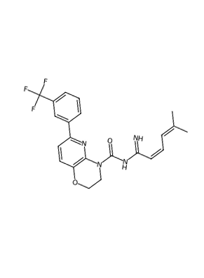 CC(C)=C/C=C\C(=N)NC(=O)N1CCOc2ccc(-c3cccc(C(F)(F)F)c3)nc21